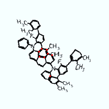 Cc1cccc(-c2ccc(-c3cccc(C)c3C)c(N(c3ccccc3)c3ccc4ccc5c(N(c6ccccc6)c6c(-c7cccc(C)c7C)ccc(-c7cccc(C)c7C)c6F)ccc6ccc3c4c65)c2F)c1C